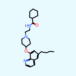 CCCCc1cc(OC2CCN(CCNC(=O)C3CCCCC3)CC2)c2ncccc2c1